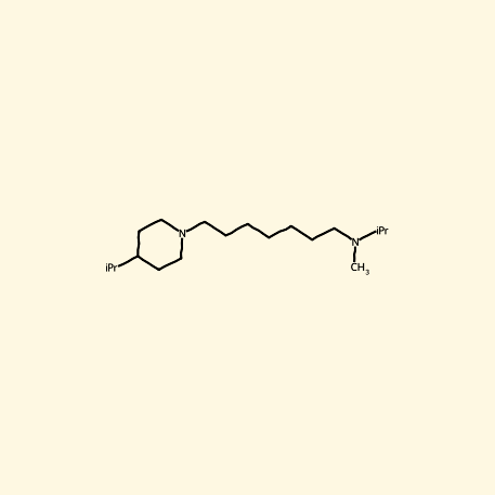 CC(C)C1CCN(CCCCCCCN(C)C(C)C)CC1